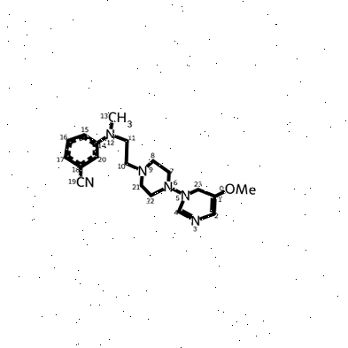 COC1=CN=CN(N2CCN(CCN(C)c3cccc(C#N)c3)CC2)C1